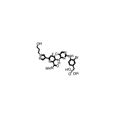 CNC(=O)c1nc(-c2cnn(CCCO)c2)ccc1Nc1nc(Nc2ccc(CP(=O)(O)O)cc2Br)ncc1C(F)(F)F